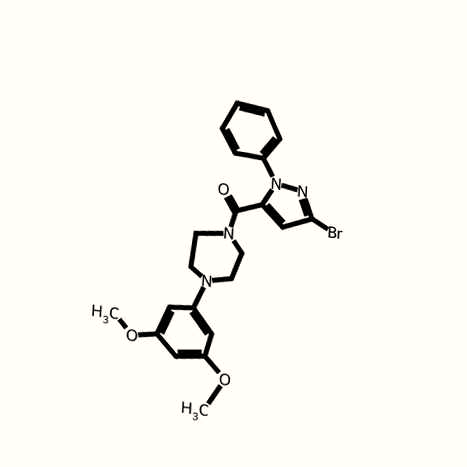 COc1cc(OC)cc(N2CCN(C(=O)c3cc(Br)nn3-c3ccccc3)CC2)c1